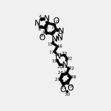 O=C1c2ncncc2C(=O)c2c1nnn2CCCN1CCN(Cc2ccc3c(c2)OCO3)CC1